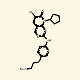 CCc1cc2cnc(Nc3ccc(OCCOC)cn3)nc2n(C2CCCC2)c1=O